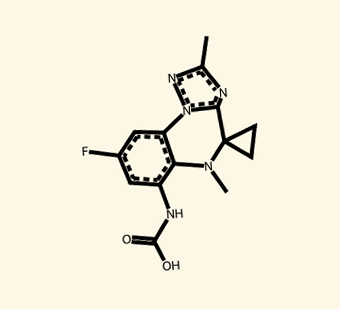 Cc1nc2n(n1)-c1cc(F)cc(NC(=O)O)c1N(C)C21CC1